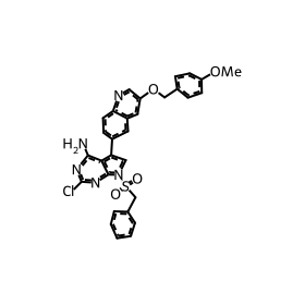 COc1ccc(COc2cnc3ccc(-c4cn(S(=O)(=O)Cc5ccccc5)c5nc(Cl)nc(N)c45)cc3c2)cc1